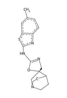 Cc1ccc2nc(NC3=NC[C@@]4(CN5CCC4CC5)O3)sc2c1